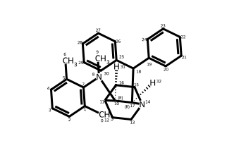 Cc1cccc(C)c1N(C)[C@@H]1C2CCN(CC2)[C@@H]1C(c1ccccc1)c1ccccc1